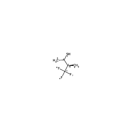 CC(S)[C@@H](C)C(F)(F)F